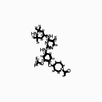 CC(=O)N1CCCC(Oc2ccc(Nc3ncc(F)c(NC4CC(C)(C)NC(C)(C)C4)n3)cc2OC(F)F)CC1